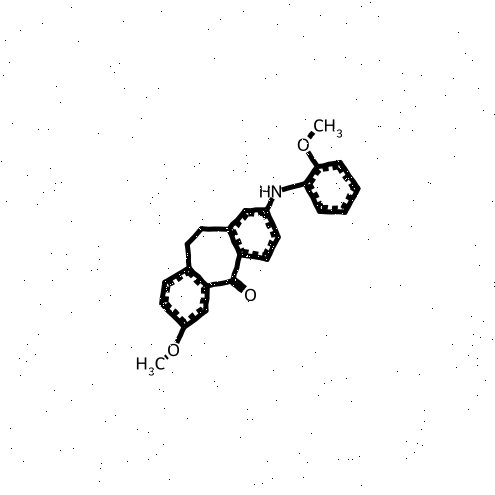 COc1ccc2c(c1)C(=O)c1ccc(Nc3ccccc3OC)cc1CC2